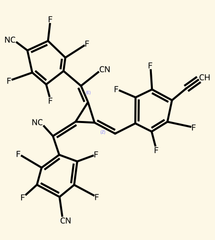 C#Cc1c(F)c(F)c(/C=C2/C(=C(C#N)c3c(F)c(F)c(C#N)c(F)c3F)/C2=C(/C#N)c2c(F)c(F)c(C#N)c(F)c2F)c(F)c1F